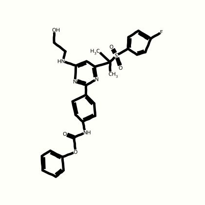 CC(C)(c1cc(NCCO)nc(-c2ccc(NC(=O)Oc3ccccc3)cc2)n1)S(=O)(=O)c1ccc(F)cc1